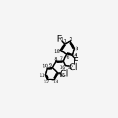 Fc1ccc(F)c(C(=Cc2ccccc2Cl)CCl)c1